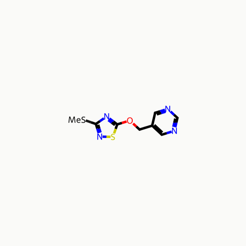 CSc1nsc(OCc2cncnc2)n1